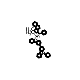 CC1(C)c2nc(-n3c4ccccc4c4cc(-c5ccc6c(c5)c5ccccc5n6-c5ccccc5)ccc43)nc(-c3ccccc3)c2-c2ccc3ccccc3c21